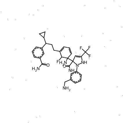 NCc1cccc(N2NC(C(F)(F)F)=CC2(C(N)=O)C2(N)C=CC=C(CCC(c3cccc(C(N)=O)c3)C3CC3)C2F)c1